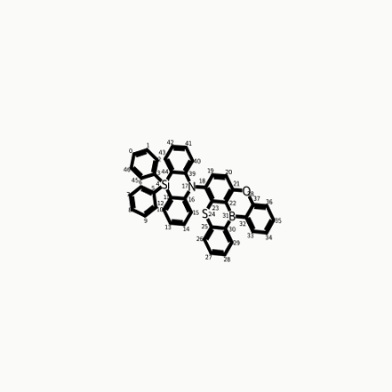 c1ccc([Si]2(c3ccccc3)c3ccccc3N(c3ccc4c5c3Sc3ccccc3B5c3ccccc3O4)c3ccccc32)cc1